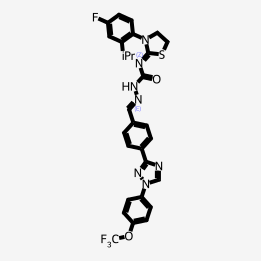 CC(C)c1cc(F)ccc1N1CCS/C1=N\C(=O)N/N=C/c1ccc(-c2ncn(-c3ccc(OC(F)(F)F)cc3)n2)cc1